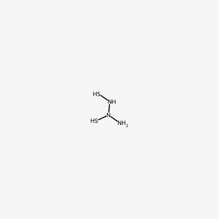 NN(S)NS